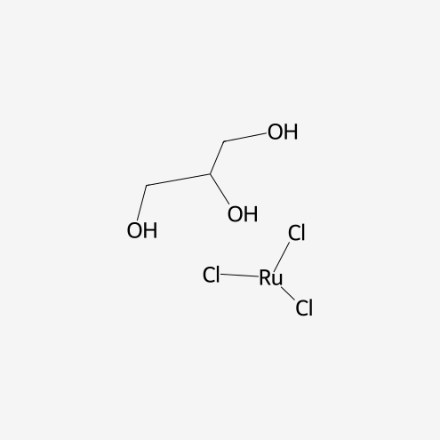 OCC(O)CO.[Cl][Ru]([Cl])[Cl]